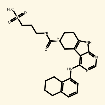 CS(=O)(=O)CCCNC(=O)[C@H]1CCc2[nH]c3ncnc(Nc4cccc5c4CCCC5)c3c2C1